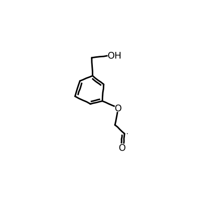 O=[C]COc1cccc(CO)c1